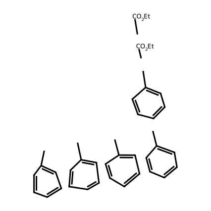 CCOC(C)=O.CCOC(C)=O.Cc1ccccc1.Cc1ccccc1.Cc1ccccc1.Cc1ccccc1.Cc1ccccc1